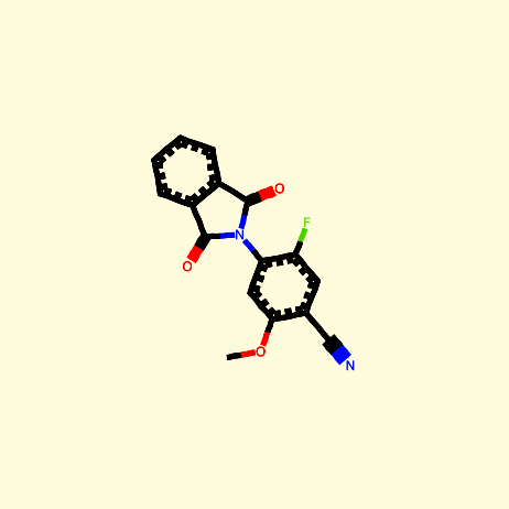 COc1cc(N2C(=O)c3ccccc3C2=O)c(F)cc1C#N